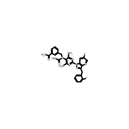 NC(=O)c1cccc(CN(C(=O)O)c2c(N)nc(-n3nc(Cc4ccccc4F)c4ncc(F)cc43)nc2N)c1